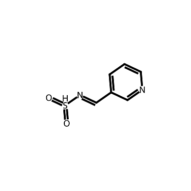 O=[SH](=O)/N=C/c1cccnc1